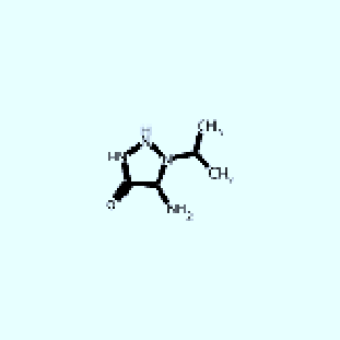 CC(C)N1NNC(=O)C1N